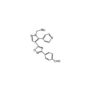 CC(C)(C)Cn1ncc(-c2nc(-c3ccc(C=O)cc3)no2)c1-c1ccncc1